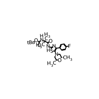 C[C@@H]1CN(c2sc(NC(=O)C(C)(C)NC(=O)OC(C)(C)C)nc2-c2ccc(F)cc2)C[C@H](C)O1